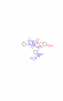 CCCN1CC(=O)N2[C@@H](Cc3ccc(O)cc3)C(=O)N(Cc3cccc4c(N)n[nH]c34)C[C@@H]2N1C(=O)NCc1ccccc1